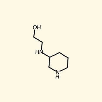 OCCNC1CCCNC1